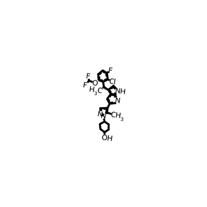 Cc1c(-c2cnc3[nH]cc([C@@H](C)c4c(OC(F)F)ccc(F)c4Cl)c3c2)cnn1C1CCC(O)CC1